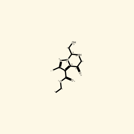 CCOC(=O)c1c(I)nn2c1C(=O)CNC2CO